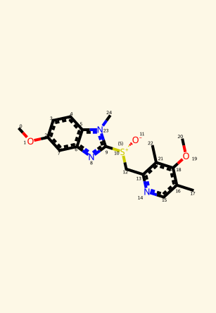 COc1ccc2c(c1)nc([S@+]([O-])Cc1ncc(C)c(OC)c1C)n2C